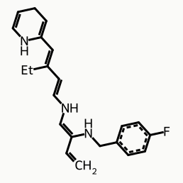 C=C/C(=C/N/C=C/C(=C/C1=CCC=CN1)CC)NCc1ccc(F)cc1